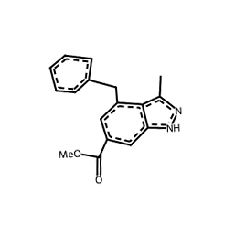 COC(=O)c1cc(Cc2ccccc2)c2c(C)n[nH]c2c1